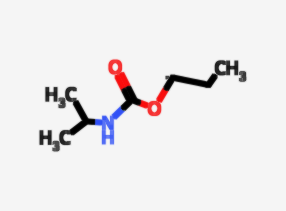 CC[CH]OC(=O)NC(C)C